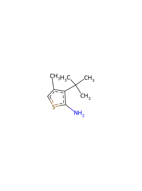 Cc1csc(N)c1C(C)(C)C